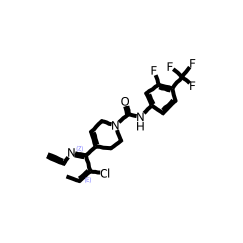 C=C/N=C(C1=CCN(C(=O)Nc2ccc(C(F)(F)F)c(F)c2)CC1)\C(Cl)=C/C